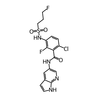 O=C(Nc1cnc2[nH]ccc2c1)c1c(Cl)ccc(NS(=O)(=O)CCCF)c1F